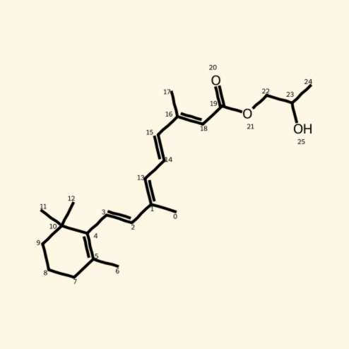 CC(C=CC1=C(C)CCCC1(C)C)=CC=CC(C)=CC(=O)OCC(C)O